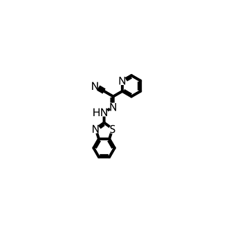 N#C/C(=N\Nc1nc2ccccc2s1)c1ccccn1